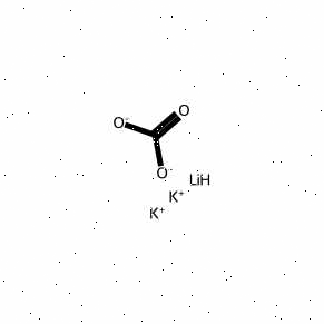 O=C([O-])[O-].[K+].[K+].[LiH]